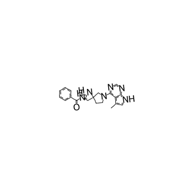 Cc1c[nH]c2ncnc(N3CCC(N)(CNC(=O)c4ccccc4)C3)c12